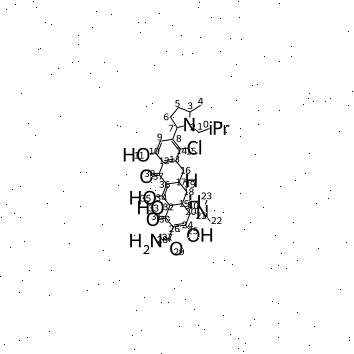 CC(C)CN1C(C)CCC1c1cc(O)c2c(c1Cl)C[C@H]1C[C@H]3[C@H](N(C)C)C(O)=C(C(N)=O)C(=O)[C@@]3(O)C(O)=C1C2=O